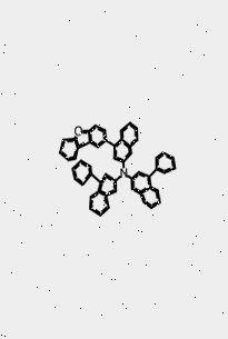 c1ccc(-c2cc(N(c3cc(-c4ccccc4)c4ccccc4c3)c3cc(-c4ccc5oc6ccccc6c5c4)c4ccccc4c3)cc3ccccc23)cc1